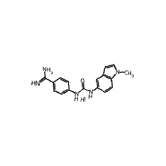 Cn1ccc2cc(NC(=O)Nc3ccc(C(=N)N)cc3)ccc21.I